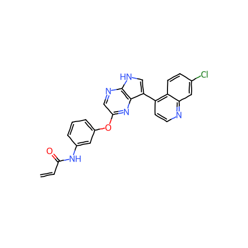 C=CC(=O)Nc1cccc(Oc2cnc3[nH]cc(-c4ccnc5cc(Cl)ccc45)c3n2)c1